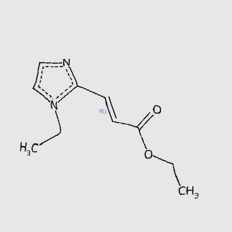 CCOC(=O)/C=C/c1nccn1CC